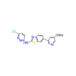 COc1cncc(-c2ccc3nc(Nc4ccc(Cl)nn4)sc3c2)c1